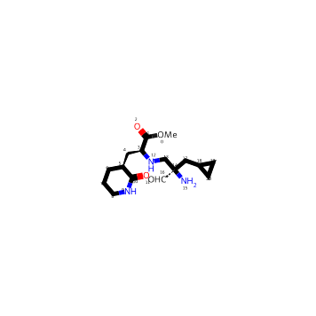 COC(=O)[C@H](C[C@@H]1CCCNC1=O)NC[C@@](N)(C=O)CC1CC1